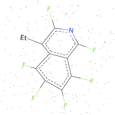 CCc1c(F)nc(F)c2c(F)c(F)c(F)c(F)c12